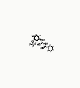 N=C(NC(=N)N1CCCCC1)Nc1ccc(F)c(OC(F)(F)F)c1